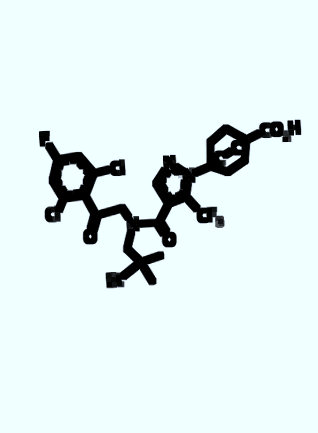 CCC(C)(C)CN(CC(=O)c1c(Cl)cc(F)cc1Cl)C(=O)c1cnn(C23CCC(C(=O)O)(CC2)CC3)c1C(F)(F)F